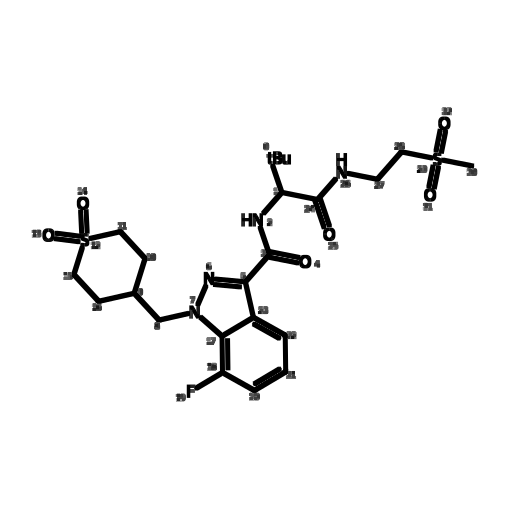 CC(C)(C)C(NC(=O)c1nn(CC2CCS(=O)(=O)CC2)c2c(F)cccc12)C(=O)NCCS(C)(=O)=O